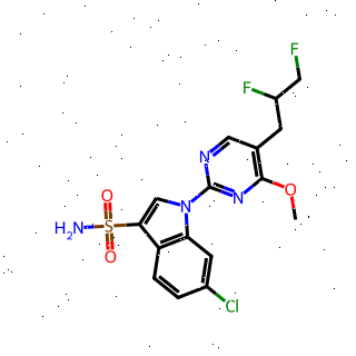 COc1nc(-n2cc(S(N)(=O)=O)c3ccc(Cl)cc32)ncc1CC(F)CF